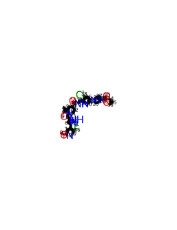 COc1cc(-c2cc(C(=O)N3CC[C@H](C(=O)NCc4ncc(N5CC6CC5CN6C(=O)OC(C)(C)C)cc4Cl)CC34CC4)[nH]n2)c(F)cn1